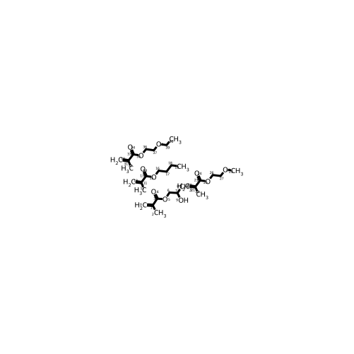 C=C(C)C(=O)OCC(C)O.C=C(C)C(=O)OCCCC.C=C(C)C(=O)OCCOC.C=C(C)C(=O)OCCOCC